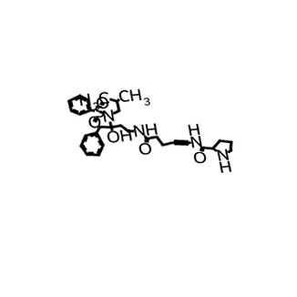 CC(C)CN(C(O)(CCNC(=O)CCC#CNC(=O)C1CCCN1)Cc1ccccc1)S(=O)(=O)c1ccccc1